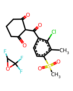 Cc1c(S(C)(=O)=O)ccc(C(=O)C2C(=O)CCCC2=O)c1Cl.FC1OC1(F)F